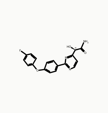 NC(=O)[C@H](O)c1ccnc(-c2ccc(Oc3ccc(F)cc3)cc2)n1